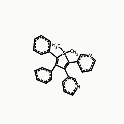 C[Si]1(C)C(c2ccccc2)=C(c2ccccc2)C(c2cccnc2)=C1c1cccnc1